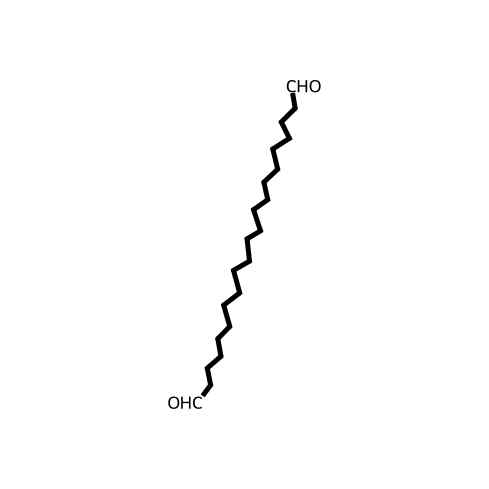 O=CCCCCCCCCCCCCCCCCCCCC=O